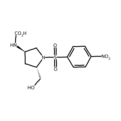 O=C(O)N[C@@H]1C[C@@H](CO)N(S(=O)(=O)c2ccc([N+](=O)[O-])cc2)C1